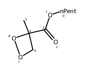 CCCCCOC(=O)C1(C)COO1